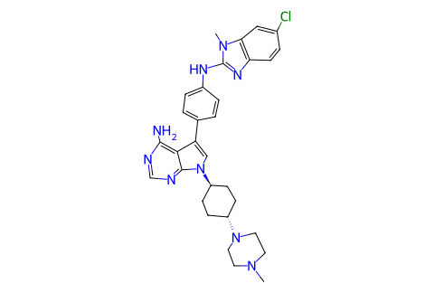 CN1CCN([C@H]2CC[C@H](n3cc(-c4ccc(Nc5nc6ccc(Cl)cc6n5C)cc4)c4c(N)ncnc43)CC2)CC1